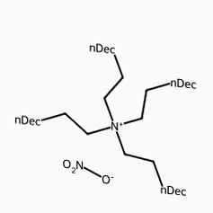 CCCCCCCCCCCC[N+](CCCCCCCCCCCC)(CCCCCCCCCCCC)CCCCCCCCCCCC.O=[N+]([O-])[O-]